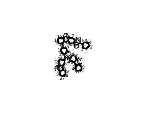 c1ccc(-c2nc3cc4oc5cccc(-c6ccc(N(c7ccc8oc9ccccc9c8c7)c7ccc8oc9ccccc9c8c7)cc6)c5c4cc3o2)cc1